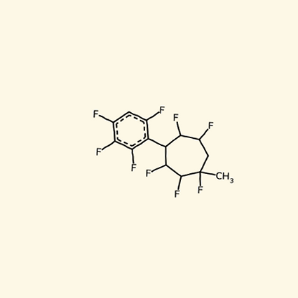 CC1(F)CC(F)C(F)C(c2c(F)cc(F)c(F)c2F)C(F)C1F